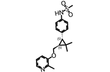 Cc1ncccc1OC[C@H]1[C@H](c2ccc(NS(C)(=O)=O)cc2)C1(C)C